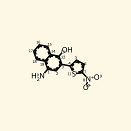 Nc1cc(-c2ccc([N+](=O)[O-])s2)c(O)c2ccccc12